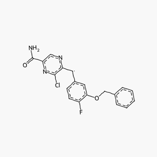 NC(=O)c1cnc([CH]c2ccc(F)c(OCc3ccccc3)c2)c(Cl)n1